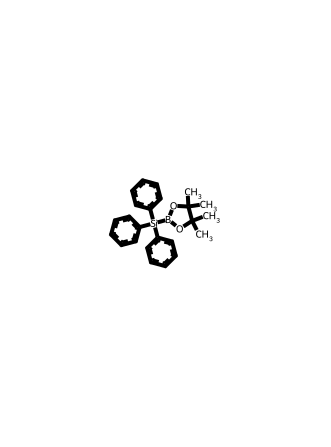 CC1(C)OB([Si](c2ccccc2)(c2ccccc2)c2ccccc2)OC1(C)C